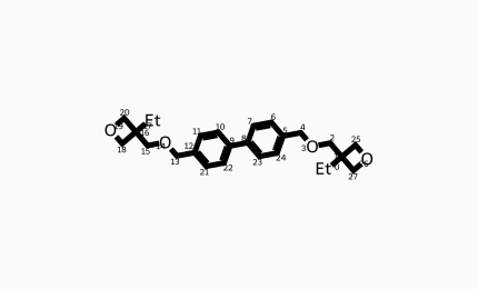 CCC1(COCc2ccc(-c3ccc(COCC4(CC)COC4)cc3)cc2)COC1